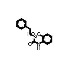 O=C(Nc1ccccc1C(=O)O)SCCc1ccccc1